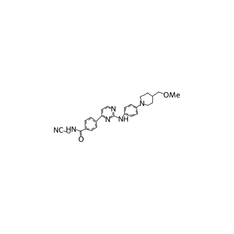 COCC1CCN(c2ccc(Nc3nccc(-c4ccc(C(=O)NCC#N)cc4)n3)cc2)CC1